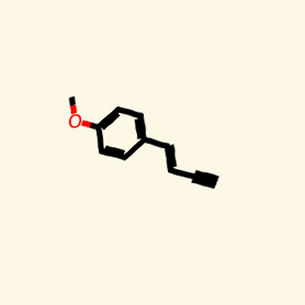 C#CC=Cc1ccc(OC)cc1